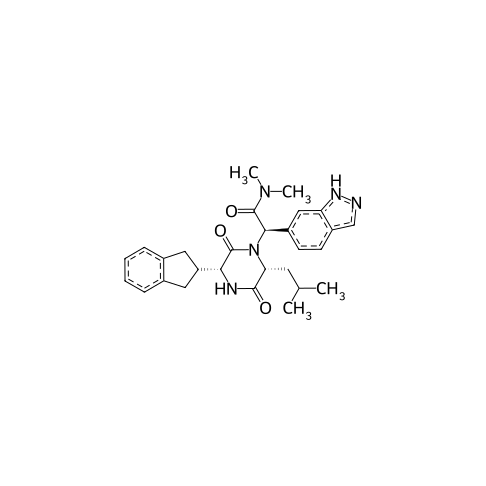 CC(C)C[C@@H]1C(=O)N[C@H](C2Cc3ccccc3C2)C(=O)N1[C@@H](C(=O)N(C)C)c1ccc2cn[nH]c2c1